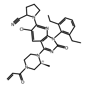 C=CC(=O)N1CCN(c2nc(=O)n(-c3c(CC)cccc3CC)c3nc(N4CCCC4C#N)c(Cl)cc23)[C@@H](C)C1